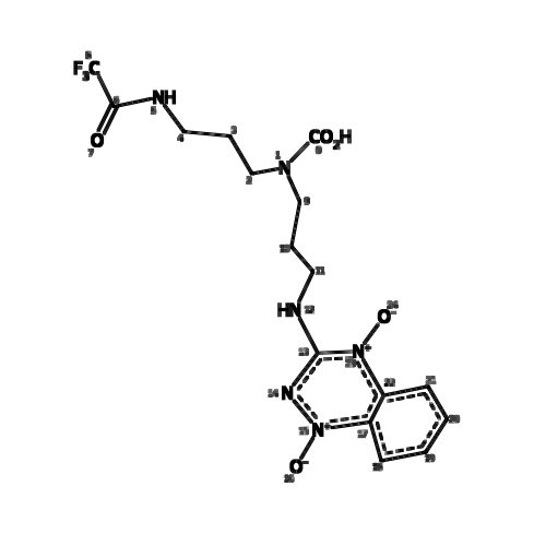 O=C(O)N(CCCNC(=O)C(F)(F)F)CCCNc1n[n+]([O-])c2ccccc2[n+]1[O-]